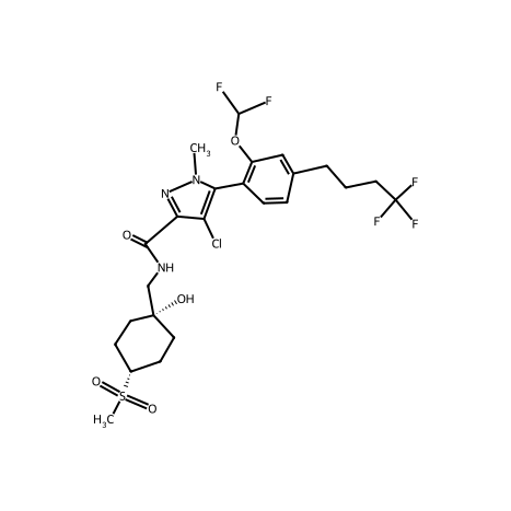 Cn1nc(C(=O)NC[C@]2(O)CC[C@@H](S(C)(=O)=O)CC2)c(Cl)c1-c1ccc(CCCC(F)(F)F)cc1OC(F)F